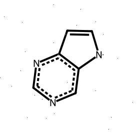 C1=Cc2ncncc2[N]1